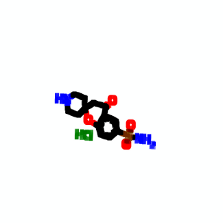 Cl.NS(=O)(=O)c1ccc2c(c1)C(=O)CC1(CCNCC1)O2